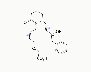 O=C(O)COC/C=C\CN1C(=O)CCCC1/C=C/[C@H](O)Cc1ccccc1